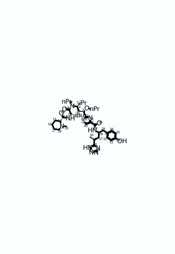 CCCO[C@H](C[C@H](C(C)C)N(CCC)C(=O)[C@@H](NC(=O)[C@H]1CCCCN1C)[C@@H](C)CC)c1nc(C(=O)NC(Cc2ccc(O)cc2)C[C@H](C)c2nnn[nH]2)cs1